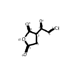 O=C1CC(C(=O)CCl)C(=O)O1